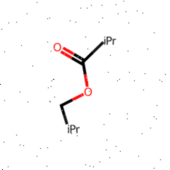 [CH2]C(C)COC(=O)C(C)C